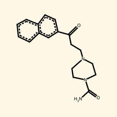 NC(=O)N1CCN(CCC(=O)c2ccc3ccccc3c2)CC1